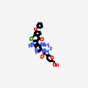 Nc1c(NC(=O)[C@H]2CC[C@H](CO)OC2)cnc2[nH]cc(C(=O)c3ccc(Oc4ccccc4)cc3Cl)c12